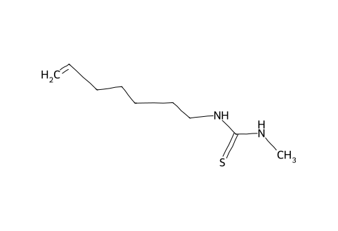 C=CCCCCCNC(=S)NC